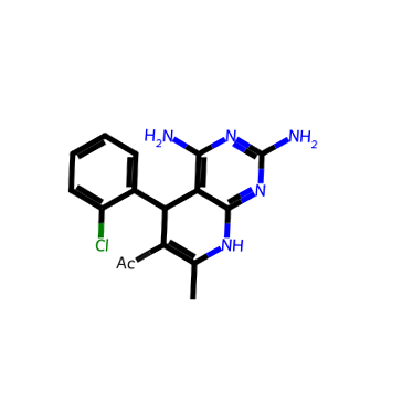 CC(=O)C1=C(C)Nc2nc(N)nc(N)c2C1c1ccccc1Cl